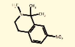 CN1CCc2ccc([N+](=O)[O-])cc2C1(C)C